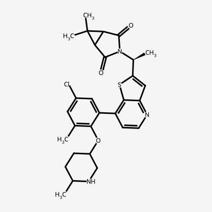 Cc1cc(Cl)cc(-c2ccnc3cc([C@H](C)N4C(=O)C5C(C4=O)C5(C)C)sc23)c1OC1CCC(C)NC1